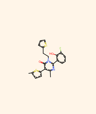 Cc1ccc(-c2c(C)nc(-c3cccc(F)c3O)n(CCc3cccs3)c2=O)s1